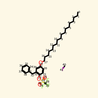 CCCCCCCCCCCCCCCCCCOc1ccc(OS(=O)(=O)C(F)(F)F)c(Cc2ccccc2)c1.CI